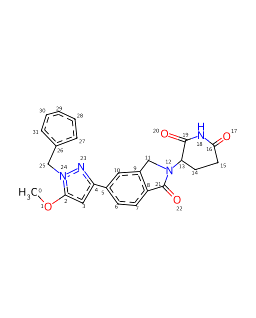 COc1cc(-c2ccc3c(c2)CN(C2CCC(=O)NC2=O)C3=O)nn1Cc1ccccc1